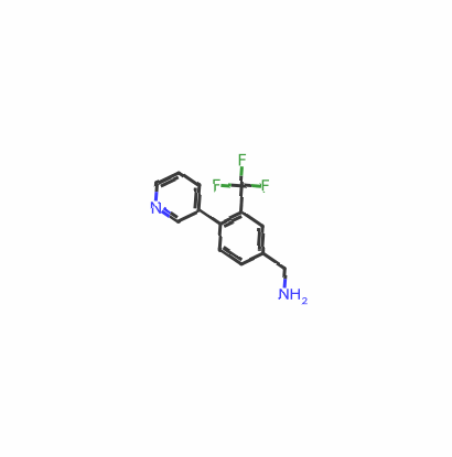 NCc1ccc(-c2cccnc2)c(C(F)(F)F)c1